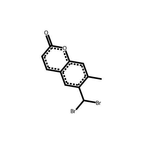 Cc1cc2oc(=O)ccc2cc1C(Br)Br